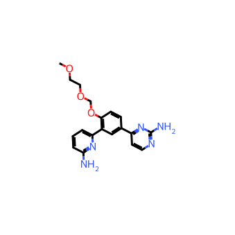 COCCOCOc1ccc(-c2ccnc(N)n2)cc1-c1cccc(N)n1